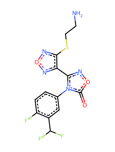 NCCSc1nonc1-c1noc(=O)n1-c1ccc(F)c(C(F)F)c1